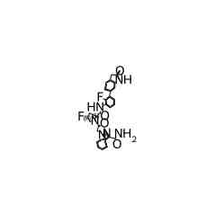 NC(=O)c1nn(CC(=O)N2C[C@H](F)C[C@H]2C(=O)Nc2cccc(-c3ccc4c(c3)NC(=O)C4)c2F)c2ccccc12